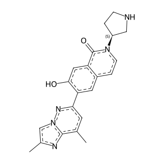 Cc1cn2nc(-c3cc4ccn([C@H]5CCNC5)c(=O)c4cc3O)cc(C)c2n1